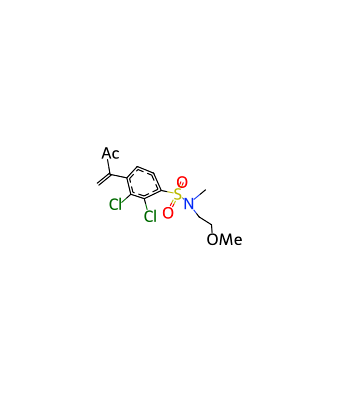 C=C(C(C)=O)c1ccc(S(=O)(=O)N(C)CCOC)c(Cl)c1Cl